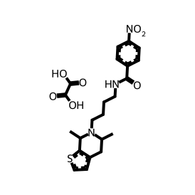 CC1Cc2ccsc2C(C)N1CCCCNC(=O)c1ccc([N+](=O)[O-])cc1.O=C(O)C(=O)O